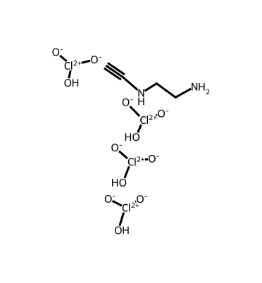 C#CNCCN.[O-][Cl+2]([O-])O.[O-][Cl+2]([O-])O.[O-][Cl+2]([O-])O.[O-][Cl+2]([O-])O